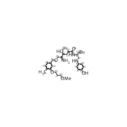 CC[C@H](C)[C@@H](CNc1ccc(O)cc1)NC(=O)[C@@H](C[C@H](O)[C@@H](N)COCc1ccc(C)c(OCCCOC)c1)C(C)C